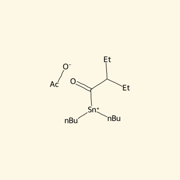 CC(=O)[O-].CCC[CH2][Sn+]([CH2]CCC)[C](=O)C(CC)CC